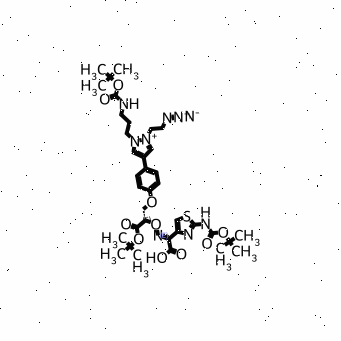 CC(C)(C)OC(=O)NCCCn1cc(-c2ccc(OC[C@H](O/N=C(/C(=O)O)c3csc(NC(=O)OC(C)(C)C)n3)C(=O)OC(C)(C)C)cc2)c[n+]1CCN=[N+]=[N-]